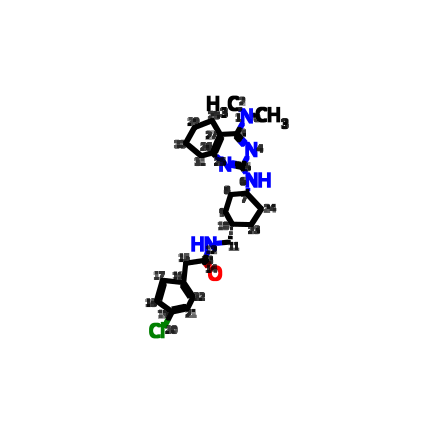 CN(C)c1nc(N[C@H]2CC[C@@H](CNC(=O)Cc3ccc(Cl)cc3)CC2)nc2c1CCCC2